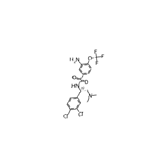 CN(C)C[C@@H](NS(=O)(=O)c1ccc(OC(F)(F)F)c(N)c1)c1ccc(Cl)c(Cl)c1